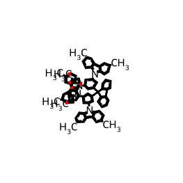 Cc1ccc2c(c1)c1cc(C)ccc1n2-c1cc(-n2c3ccc(C)cc3c3cc(C)ccc32)cc(C2(c3cc(-n4c5ccc(C)cc5c5cc(C)ccc54)cc(-n4c5ccc(C)cc5c5cc(C)ccc54)c3)c3ccccc3-c3ccccc32)c1